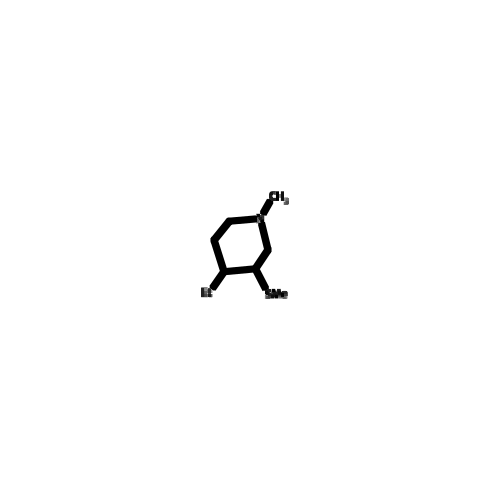 CCC1CCN(C)CC1SC